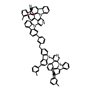 Cc1cccc(-c2ccc3c(c2)c2ccccc2n3-c2cncc(-n3c4ccc(Cc5cccc(-c6ccc7c8ccccc8n(-c8cncc(-n9c%10ccccc%10c%10ccc(-c%11cccc(C)c%11)cc%109)c8-c8cccc(C#N)c8)c7c6)c5)cc4c4cc(-c5cccc(C)c5)ccc43)c2-c2cccc(C#N)c2)c1